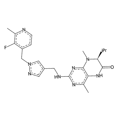 Cc1nccc(Cn2cc(CNc3nc(C)c4c(n3)N(C)[C@@H](C(C)C)C(=O)N4)cn2)c1F